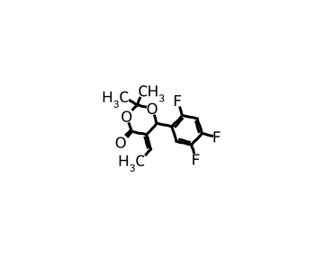 CC=C1C(=O)OC(C)(C)OC1c1cc(F)c(F)cc1F